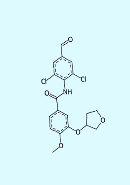 COc1ccc(C(=O)Nc2c(Cl)cc(C=O)cc2Cl)cc1OC1CCOC1